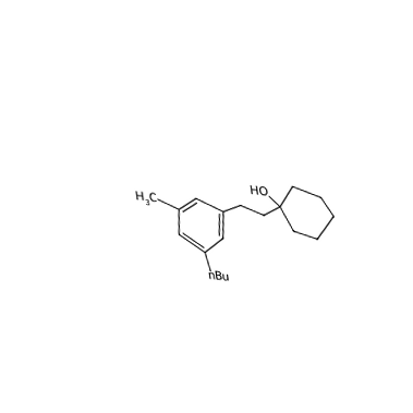 CCCCc1cc(C)cc(CCC2(O)CCCCC2)c1